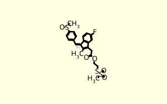 CC1=C(CC(=O)OCCSS(C)(=O)=O)c2cc(F)ccc2/C1=C\c1ccc([S+](C)[O-])cc1